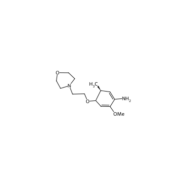 COC1=CC(OCCN2CCOCC2)[C@@H](C)C=C1N